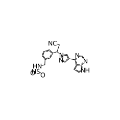 N#CCC(c1cccc(CN[SH](=O)=O)c1)n1cc(-c2ncnc3[nH]ccc23)cn1